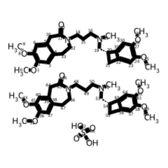 COc1cc2c(cc1OC)CC(=O)N(CCCN(C)C[C@H]1Cc3cc(OC)c(OC)cc31)CC2.COc1cc2c(cc1OC)CC(=O)N(CCCN(C)C[C@H]1Cc3cc(OC)c(OC)cc31)CC2.O=S(=O)(O)O